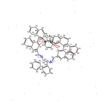 CC(=O)OC1CCOc2c(cc3ccccc3c2-c2c(-c3ccccc3)ccc3ccccc23)/C=N/C(c2ccccc2)[C@H](c2ccccc2)/N=C/c2cc3ccccc3c(-c3c(-c4ccccc4)ccc4c3CC=CC4)c2O1